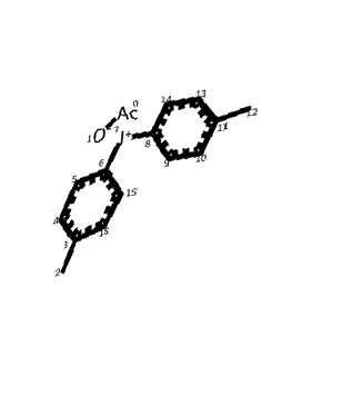 CC(=O)[O-].Cc1ccc([I+]c2ccc(C)cc2)cc1